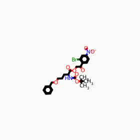 CC(C)(C)OC(=O)NC(CCCOCc1ccccc1)C(=O)OCC(=O)c1ccc([N+](=O)[O-])cc1Br